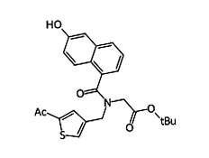 CC(=O)c1cc(CN(CC(=O)OC(C)(C)C)C(=O)c2cccc3cc(O)ccc23)cs1